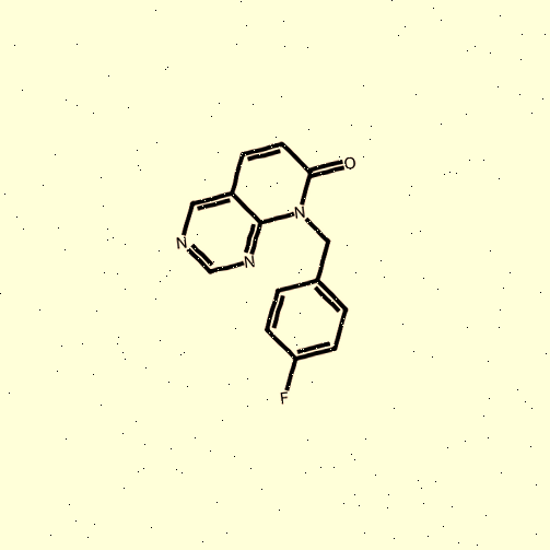 O=c1ccc2cncnc2n1Cc1ccc(F)cc1